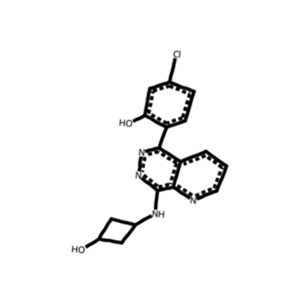 Oc1cc(Cl)ccc1-c1nnc(NC2CC(O)C2)c2ncccc12